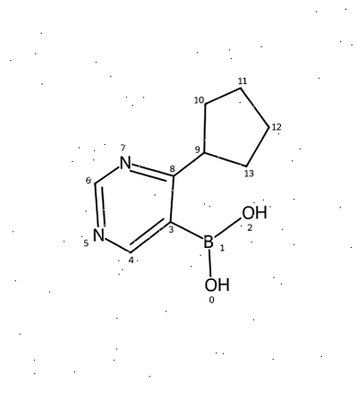 OB(O)c1cncnc1C1CCCC1